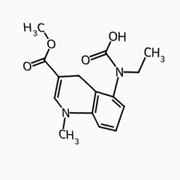 CCN(C(=O)O)c1cccc2c1CC(C(=O)OC)=CN2C